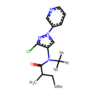 [2H]C([2H])([2H])N(C(=O)C(C)CSC)c1cn(-c2cccnc2)nc1Cl